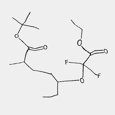 CCOC(=O)C(F)(F)OC(CC)CCC(C)C(=O)OC(C)(C)C